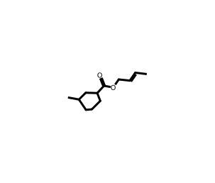 C/C=C/COC(=O)C1CCCC(C)C1